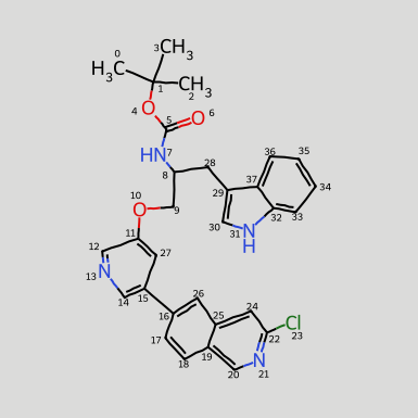 CC(C)(C)OC(=O)NC(COc1cncc(-c2ccc3cnc(Cl)cc3c2)c1)Cc1c[nH]c2ccccc12